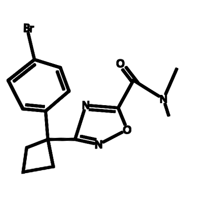 CN(C)C(=O)c1nc(C2(c3ccc(Br)cc3)CCC2)no1